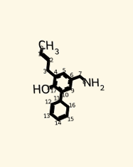 CC=CCc1cc(CN)cc(C2C=CC=CC2)c1O